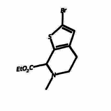 CCOC(=O)C1c2sc(Br)cc2CCN1C